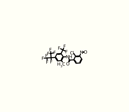 Cc1cc(C(F)(C(F)(F)F)C(F)(F)F)cc(C(F)(F)F)c1NC(=O)c1cccc(N=O)c1Cl